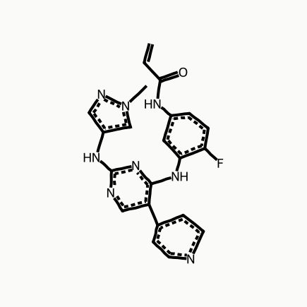 C=CC(=O)Nc1ccc(F)c(Nc2nc(Nc3cnn(C)c3)ncc2-c2ccncc2)c1